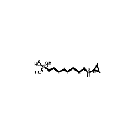 O[Si](O)(O)CCCCCCCCNC1CC1